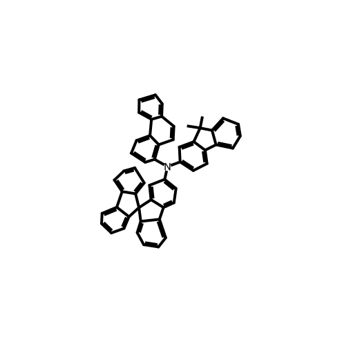 CC1(C)c2ccccc2-c2ccc(N(c3ccc4c(c3)C3(c5ccccc5-c5ccccc53)c3ccccc3-4)c3cccc4c3ccc3ccccc34)cc21